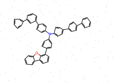 c1ccc(-c2ccc(-c3ccc(N(c4ccc(-c5cccc(-c6ccccc6)c5)cc4)c4ccc(-c5cccc6c5oc5ccccc56)cc4)cc3)cc2)cc1